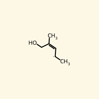 C[CH]C=C(C)CO